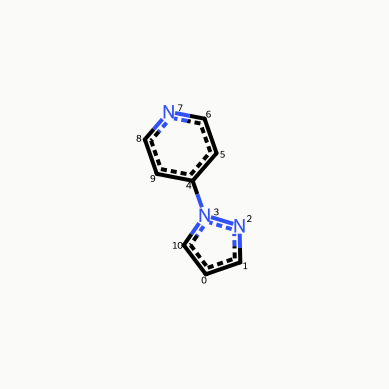 c1cnn(-c2ccncc2)c1